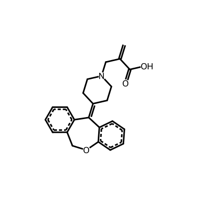 C=C(CN1CCC(=C2c3ccccc3COc3ccccc32)CC1)C(=O)O